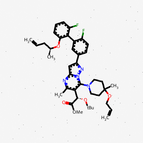 C=CCOC1(C)CCN(c2c([C@H](OC(C)(C)C)C(=O)OC)c(C)nc3cc(-c4ccc(F)c(-c5c(F)cccc5O[C@@H](C)CC=C)c4)nn23)CC1